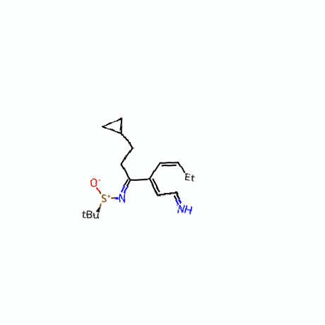 CC\C=C/C(=C\C=N)C(/CCC1CC1)=N/[S@+]([O-])C(C)(C)C